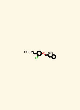 CCCC/C(=C\C1CCCC1)COc1ccc(CCC(=O)O)c(Cl)c1